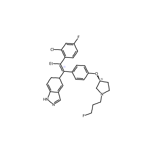 CC/C(=C(/c1ccc(O[C@H]2CCN(CCCF)C2)cc1)C1C=c2cn[nH]c2=CC1)c1ccc(F)cc1Cl